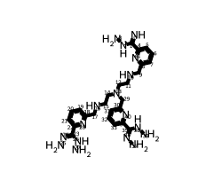 N=C(NN)c1cccc(CNCCN(CCNCc2cccc(/C(=N/N)NN)n2)Cc2cccc(/C(=N/N)NN)n2)n1